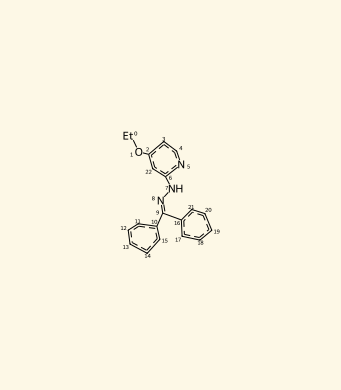 CCOc1ccnc(NN=C(c2ccccc2)c2ccccc2)c1